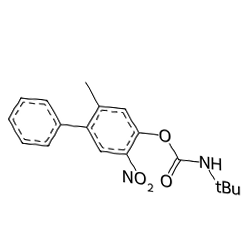 Cc1cc(OC(=O)NC(C)(C)C)c([N+](=O)[O-])cc1-c1ccccc1